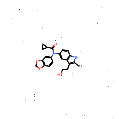 CC(C)(C)c1[nH]c2ccc(N(C(=O)C3CC3)c3ccc4c(c3)OCO4)cc2c1CCO